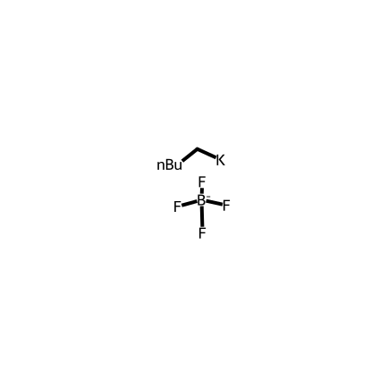 CCCC[CH2][K].F[B-](F)(F)F